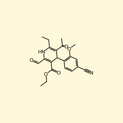 CCOC(=O)C1=C(C=O)NC(CC)=C(C(C)=O)C1c1ccc(C#N)cc1OC